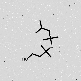 CC(C)CC(C)(C)OC(C)(C)CCO